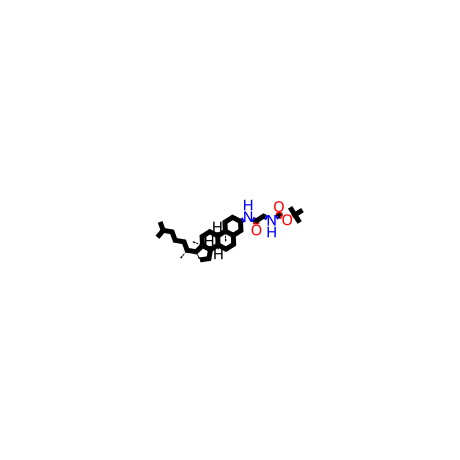 CC(C)CCC[C@@H](C)[C@H]1CC[C@H]2[C@@H]3CCC4CC(NC(=O)CNC(=O)OC(C)(C)C)CC[C@]4(C)[C@H]3CC[C@]12C